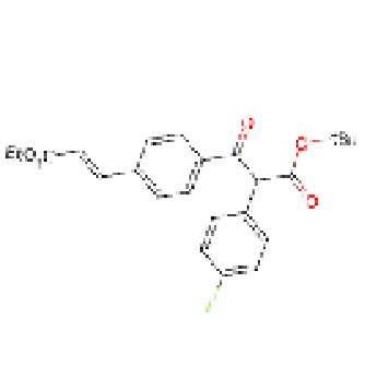 CCOC(=O)C=Cc1ccc(C(=O)C(C(=O)OC(C)(C)C)c2ccc(F)cc2)cc1